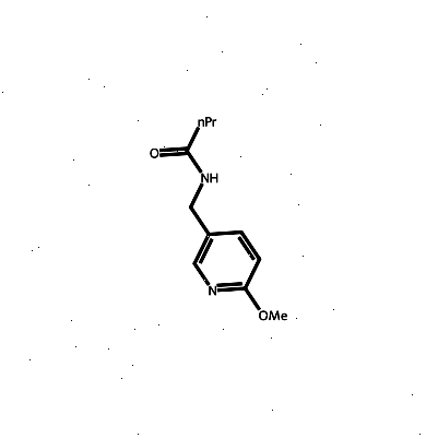 CCCC(=O)NCc1ccc(OC)nc1